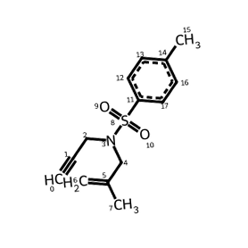 C#CCN(CC(=C)C)S(=O)(=O)c1ccc(C)cc1